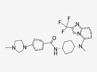 CN1CCN(c2ccc(C(=O)N[C@H]3CC[C@@H](N(C)c4cccc5nc(C(F)(F)F)cn45)CC3)cc2)CC1